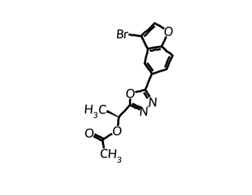 CC(=O)O[C@@H](C)c1nnc(-c2ccc3occ(Br)c3c2)o1